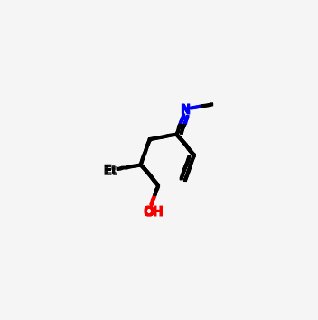 C=C/C(CC(CC)CO)=N\C